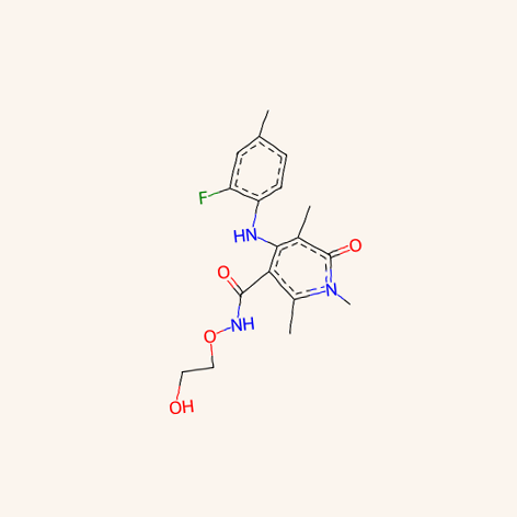 Cc1ccc(Nc2c(C(=O)NOCCO)c(C)n(C)c(=O)c2C)c(F)c1